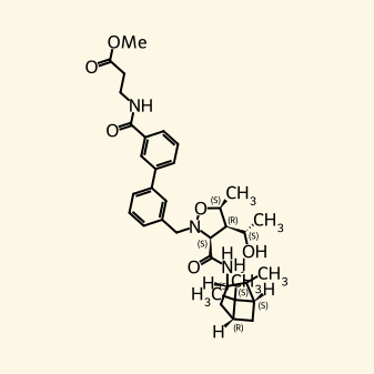 COC(=O)CCNC(=O)c1cccc(-c2cccc(CN3O[C@@H](C)[C@@H]([C@H](C)O)[C@H]3C(=O)N[C@H]3C[C@H]4C[C@@H]([C@@H]3C)C4(C)C)c2)c1